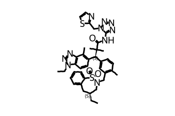 CC[C@H]1Cc2ccccc2S(=O)(=O)N(Cc2cc([C@@H](c3ccc4c(nnn4CC)c3C)C(C)(C)C(=O)Nc3nnnn3Cc3nccs3)ccc2C)C1